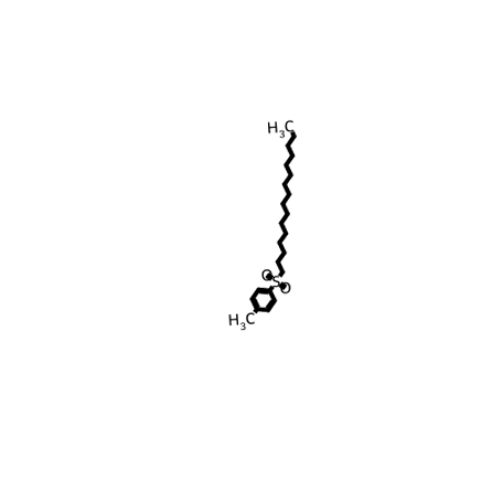 CCCCCCCCCCCCCCCCS(=O)(=O)c1ccc(C)cc1